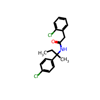 CCC(C)(NC(=O)Cc1ccccc1Cl)c1ccc(Cl)cc1